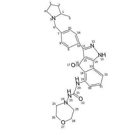 CC1CCCN1Cc1ccc(-c2n[nH]c3c2C(=O)c2c(NC(=O)NN4CCOCC4)cccc2-3)cc1